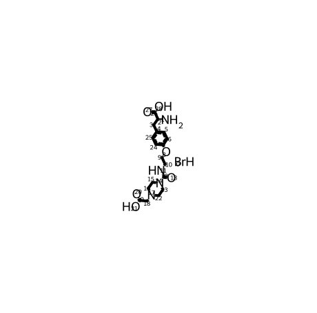 Br.N[C@@H](Cc1ccc(OCCNC(=O)N2CCN(CC(=O)O)CC2)cc1)C(=O)O